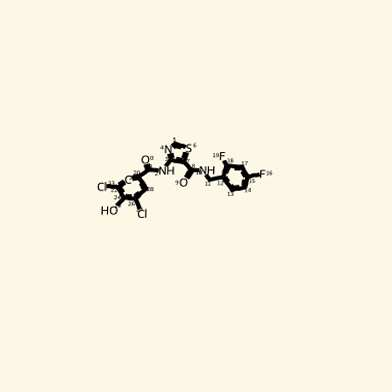 O=C(Nc1ncsc1C(=O)NCc1ccc(F)cc1F)c1cc(Cl)c(O)c(Cl)c1